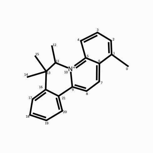 Cc1cccc2c1ccc1[n+]2C(C)C(C)(C)c2ccccc2-1